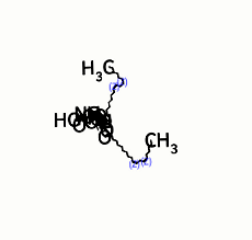 CCCCC/C=C\C/C=C\CCCCCCCCCC(=O)OC[C@H](COP(=O)(O)OC[C@H](N)C(=O)O)OC(=O)CCCCCCC/C=C\C/C=C\CCCCC